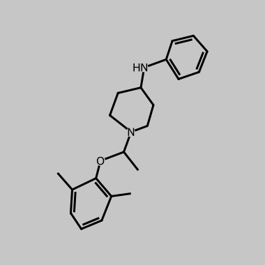 Cc1cccc(C)c1OC(C)N1CCC(Nc2ccccc2)CC1